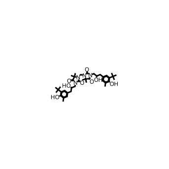 Cc1cc(CC(O)CN2C(=O)N(CN3C(=O)N(CC(O)Cc4cc(C)c(O)c(C(C)(C)C)c4)C(=O)C3(C)C)C(C)(C)C2=O)cc(C(C)(C)C)c1O